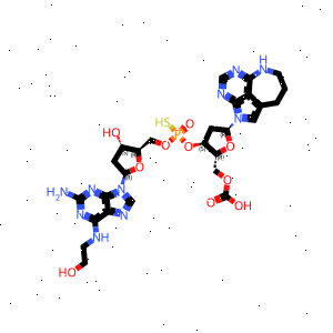 Nc1nc(NCCO)c2ncn([C@H]3C[C@H](O)[C@@H](COP(=O)(S)O[C@H]4C[C@H](n5cc6c7c(ncnc75)NCCC6)O[C@@H]4COC(=O)O)O3)c2n1